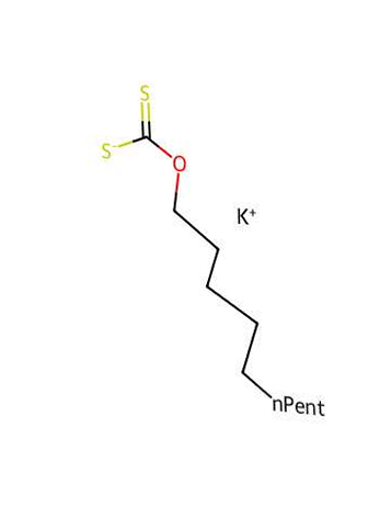 CCCCCCCCCCOC(=S)[S-].[K+]